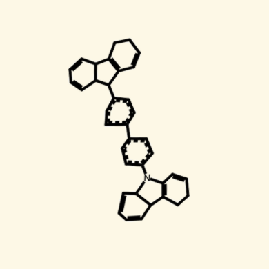 C1=CC2C3=C(C=CCC3)C(c3ccc(-c4ccc(N5C6=C(CCC=C6)C6C=CC=CC65)cc4)cc3)C2C=C1